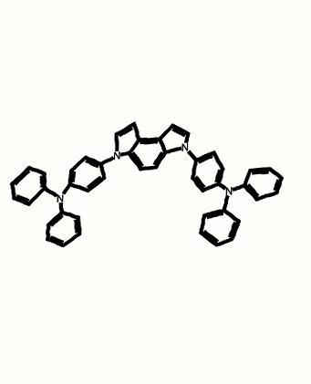 c1ccc(N(c2ccccc2)c2ccc(-n3ccc4c5ccn(-c6ccc(N(c7ccccc7)c7ccccc7)cc6)c5ccc43)cc2)cc1